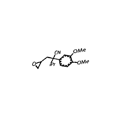 COc1ccc(C(C#N)(CC2CO2)C(C)C)cc1OC